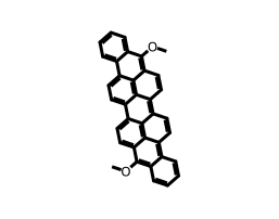 COc1c2ccccc2c2ccc3c4ccc5c(OC)c6ccccc6c6ccc(c7ccc1c2c73)c4c56